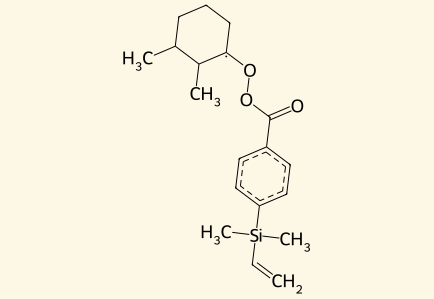 C=C[Si](C)(C)c1ccc(C(=O)OO[C]2CCCC(C)C2C)cc1